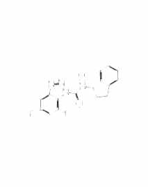 O=C(N[C@@H]1CCc2ccccc21)n1nnc2cc(F)cc(F)c21